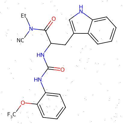 CCN(C#N)C(=O)C(Cc1c[nH]c2ccccc12)NC(=O)Nc1ccccc1OC(F)(F)F